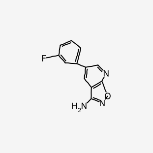 Nc1noc2ncc(-c3cccc(F)c3)cc12